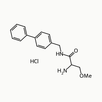 COCC(N)C(=O)NCc1ccc(-c2ccccc2)cc1.Cl